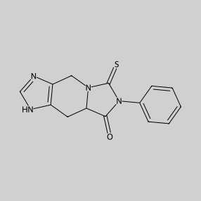 O=C1C2Cc3[nH]cnc3CN2C(=S)N1c1ccccc1